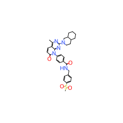 Cc1nc(N2CCC3CCCCC3C2)nc2c1ccc(=O)n2-c1ccc(C(=O)NCc2ccc(S(C)(=O)=O)cc2)cc1